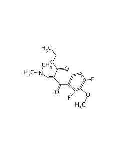 CCOC(=O)C(=CN(C)C)C(=O)c1ccc(F)c(OC)c1F